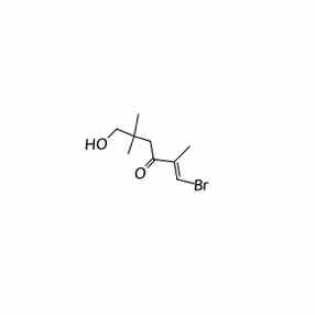 C/C(=C\Br)C(=O)CC(C)(C)CO